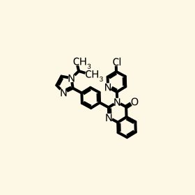 CC(C)n1ccnc1-c1ccc(-c2nc3ccccc3c(=O)n2-c2ccc(Cl)cn2)cc1